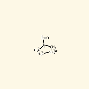 CCCCC.CN(C)C=O.[Ta]